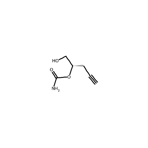 C#CC[C@@H](CO)OC(N)=O